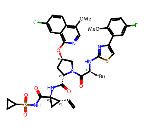 C=C[C@@H]1C[C@]1(NC(=O)[C@@H]1C[C@@H](Oc2ncc(OC)c3ccc(Cl)cc23)CN1C(=O)[C@@H](Nc1nc(-c2cc(F)ccc2OC)cs1)C(C)(C)C)C(=O)NS(=O)(=O)C1CC1